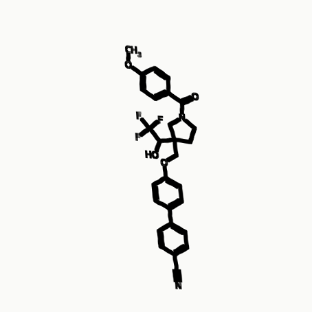 COc1ccc(C(=O)N2CCC(COc3ccc(-c4ccc(C#N)cc4)cc3)(C(O)C(F)(F)F)C2)cc1